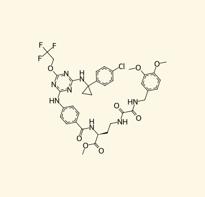 COC(=O)[C@H](CCNC(=O)C(=O)NCc1ccc(OC)c(OC)c1)NC(=O)c1ccc(Nc2nc(NC3(c4ccc(Cl)cc4)CC3)nc(OCC(F)(F)F)n2)cc1